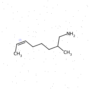 C/C=C\CCCC(C)CN